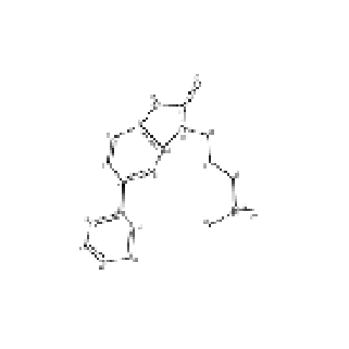 C=C1Oc2ccc(-c3ccccc3)cc2N1CCCN(C)C